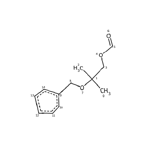 CC(C)(CO[C]=O)OCc1ccccc1